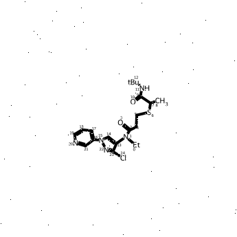 CCN(C(=O)CCSC(C)C(=O)NC(C)(C)C)c1cn(-c2cccnc2)nc1Cl